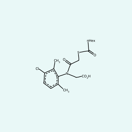 CCCCCCC(=O)SCC(=O)N(CC(=O)O)c1c(C)ccc(Cl)c1C